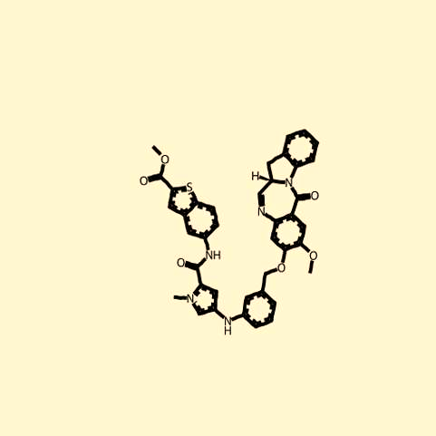 COC(=O)c1cc2cc(NC(=O)c3cc(Nc4cccc(COc5cc6c(cc5OC)C(=O)N5c7ccccc7C[C@H]5C=N6)c4)cn3C)ccc2s1